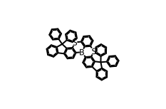 c1ccc(C2(c3ccccc3)c3ccccc3-c3ccc4c(c32)Sc2cccc3c2B4c2ccc4c(c2S3)C(c2ccccc2)(c2ccccc2)c2ccccc2-4)cc1